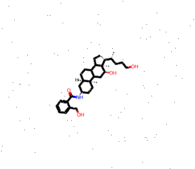 C[C@H](CCCO)[C@H]1CCC2C3CC[C@@H]4C[C@@H](NC(=O)c5ccccc5CO)CC[C@]4(C)C3C[C@H](O)[C@@]21C